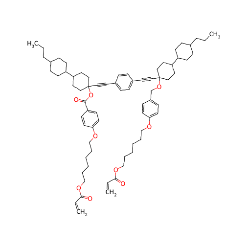 C=CC(=O)OCCCCCCOc1ccc(COC2(C#Cc3ccc(C#CC4(OC(=O)c5ccc(OCCCCCCOC(=O)C=C)cc5)CCC(C5CCC(CCC)CC5)CC4)cc3)CCC(C3CCC(CCC)CC3)CC2)cc1